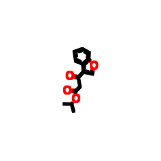 CC(C)OC(=O)CC(=O)c1coc2ccccc12